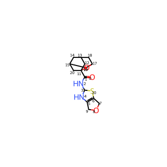 O=C(NC1NC2=C(COC2)S1)C12CC3CC(CC(C3)O1)C2